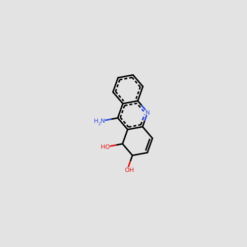 Nc1c2c(nc3ccccc13)C=CC(O)C2O